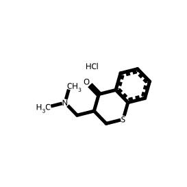 CN(C)CC1CSc2ccccc2C1=O.Cl